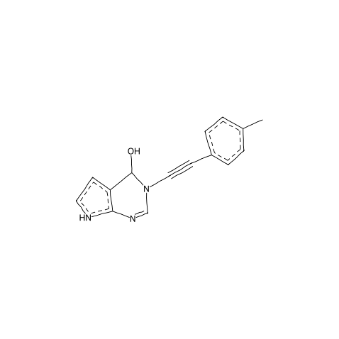 Cc1ccc(C#CN2C=Nc3[nH]ccc3C2O)cc1